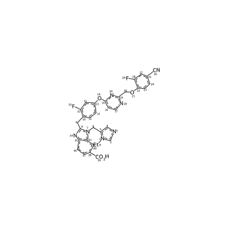 CCn1cncc1Cn1c(Cc2ccc(Oc3ccnc(COc4ccc(C#N)cc4F)n3)cc2F)nc2ccc(C(=O)O)cc21